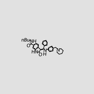 CCCCNC(=O)c1ccc2c(c1)NC(=O)/C2=C(\Nc1ccc(CN2CCCCC2)cc1)c1ccccc1